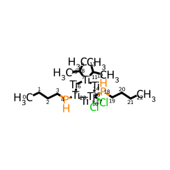 CCCC[PH][Ti]1[Ti][Ti]([CH](C)C)([CH](C)C)[Ti][Ti]([Cl])([Cl])([PH]CCCC)[Ti]1